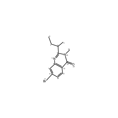 CCC(C)c1nc2cc(Br)ccc2c(=O)n1C